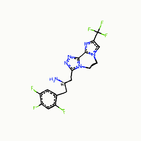 N[C@H](Cc1cc(F)c(F)cc1F)Cc1nnc2n1CCn1cc(C(F)(F)F)nc1-2